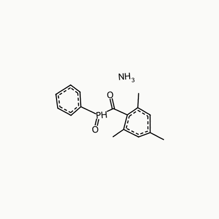 Cc1cc(C)c(C(=O)[PH](=O)c2ccccc2)c(C)c1.N